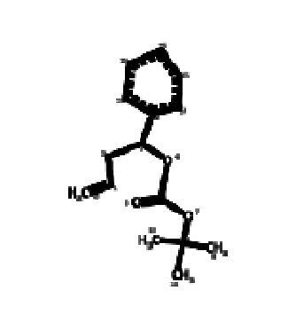 C=CCC(OC(=O)OC(C)(C)C)c1ccccc1